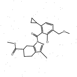 COCc1ccc(C2CC2)c(C(=O)n2nc(I)c3c2CC(C(=O)OC)CC3)c1Cl